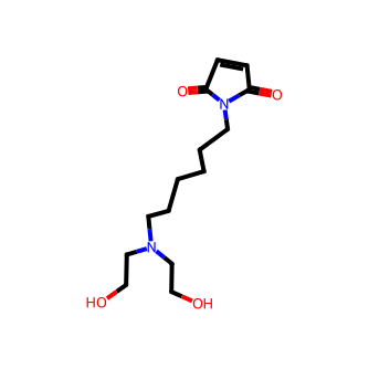 O=C1C=CC(=O)N1CCCCCCN(CCO)CCO